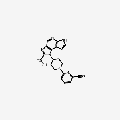 C[C@@H](O)c1nc2cnc3[nH]ccc3c2n1C1CCN(c2cccc(C#N)n2)CC1